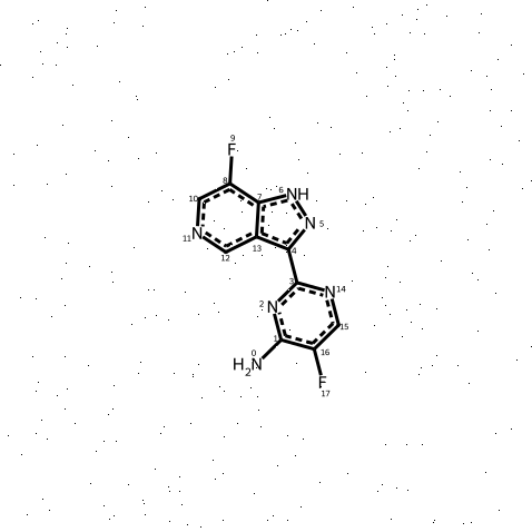 Nc1nc(-c2n[nH]c3c(F)cncc23)ncc1F